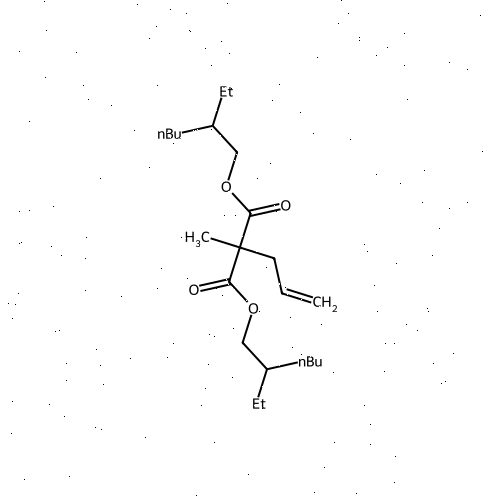 C=CCC(C)(C(=O)OCC(CC)CCCC)C(=O)OCC(CC)CCCC